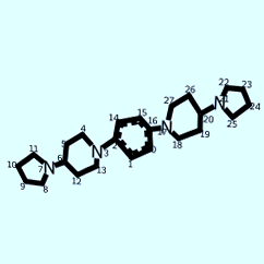 c1cc(N2CCC(N3CCCC3)CC2)ccc1N1CCC(N2CCCC2)CC1